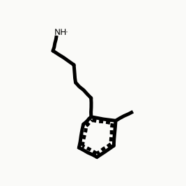 Cc1ccccc1CCCC[NH]